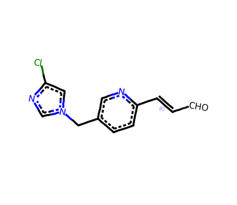 O=C/C=C/c1ccc(Cn2cnc(Cl)c2)cn1